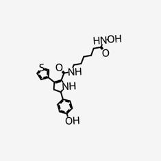 O=C(CCCCCNC(=O)C1=C(c2ccsc2)CC(c2ccc(O)cc2)N1)NO